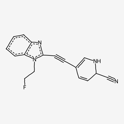 N#CC1C=CC(C#Cc2nc3ccccc3n2CCF)=CN1